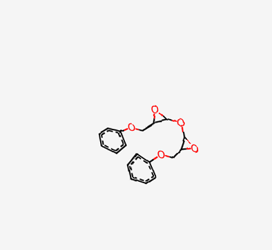 c1ccc(OCC2OC2OC2OC2COc2ccccc2)cc1